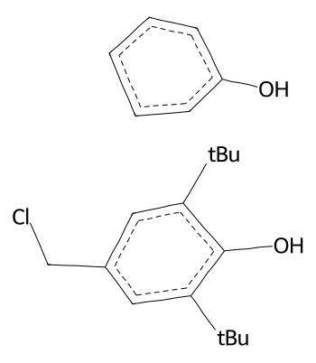 CC(C)(C)c1cc(CCl)cc(C(C)(C)C)c1O.Oc1ccccc1